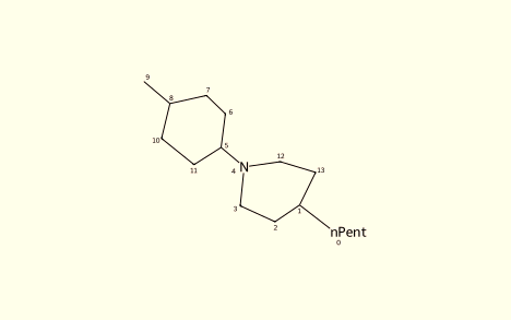 CCCCCC1CCN(C2CCC(C)CC2)CC1